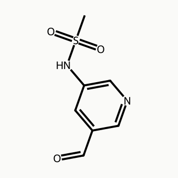 CS(=O)(=O)Nc1cncc(C=O)c1